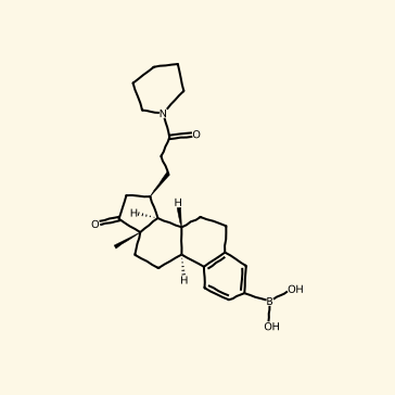 C[C@]12CC[C@@H]3c4ccc(B(O)O)cc4CC[C@H]3[C@@H]1[C@H](CCC(=O)N1CCCCC1)CC2=O